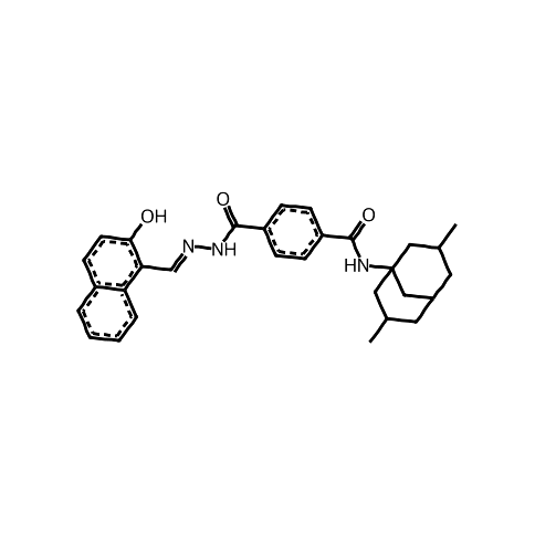 CC1CC2CC(C)CC(NC(=O)c3ccc(C(=O)N/N=C/c4c(O)ccc5ccccc45)cc3)(C1)C2